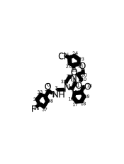 O=C(NCCN1CCN(C2(COC(=O)c3ccccc3)COc3ccc(Cl)cc3O2)CC1)c1ccc(F)cc1